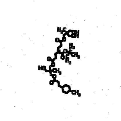 CC1CCC(CCC(=O)OCC(C)(CO)COC(=O)CCN(CCC(=O)OCC(C)(CO)CO)C(=O)OC(C)(C)C)CC1